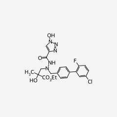 CCOC(=O)C(C)(O)CN(Cc1ccc(-c2cc(Cl)ccc2F)cc1)NC(=O)c1cn(O)nn1